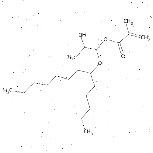 C=C(C)C(=O)OC(OC(CCCCC)CCCCCCC)C(C)O